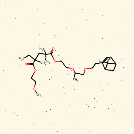 CCC(C)(CC(C)(C)C(=O)OCCOC(C)COCCC1=CCC2CC1C2(C)C)C(=O)OCCOC